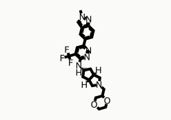 Cn1cc2cc(-c3cc(C(F)(F)F)c(N[C@H]4C[C@@H]5CN(CC6COCCO6)C[C@@H]5C4)nn3)ccc2n1